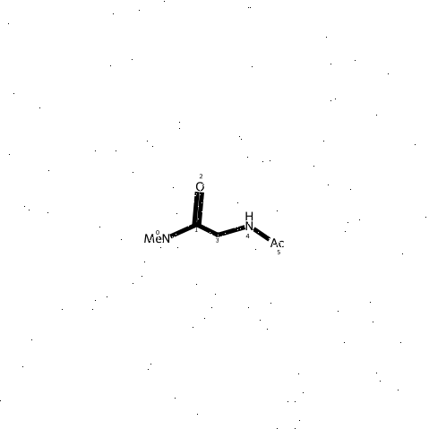 CNC(=O)CNC(C)=O